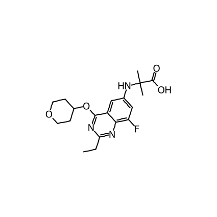 CCc1nc(OC2CCOCC2)c2cc(NC(C)(C)C(=O)O)cc(F)c2n1